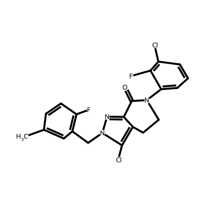 Cc1ccc(F)c(Cn2nc3c(c2Cl)CCN(c2cccc(Cl)c2F)C3=O)c1